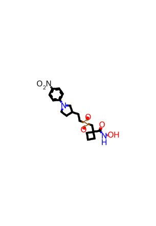 O=C(NO)C1(CS(=O)(=O)CCC2CCN(c3ccc([N+](=O)[O-])cc3)C2)CCC1